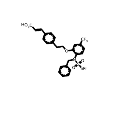 CCCS(=O)(=O)N(Cc1ccccc1)c1ccc(C(F)(F)F)cc1OCCc1ccc(/C=C/C(=O)O)cc1